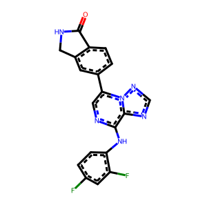 O=C1NCc2cc(-c3cnc(Nc4ccc(F)cc4F)c4ncnn34)ccc21